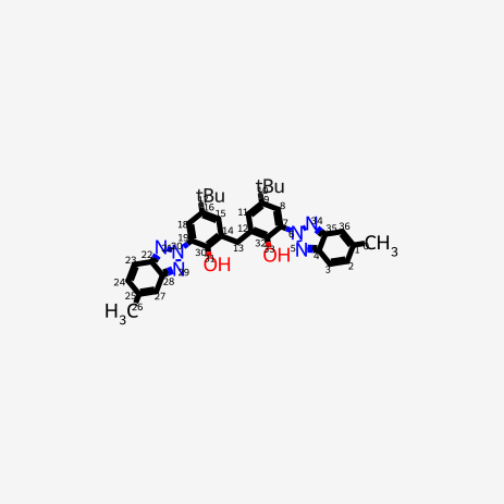 Cc1ccc2nn(-c3cc(C(C)(C)C)cc(Cc4cc(C(C)(C)C)cc(-n5nc6ccc(C)cc6n5)c4O)c3O)nc2c1